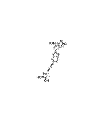 C[C@](CCn1cc2cc(C#CC#C[C@@H]3C[C@@H](O)[C@@H](O)C3)ccc2n1)(C[SH](=O)=O)C(=O)NO